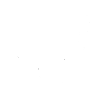 O=C(NCCN1CCOCC1)c1cccc(-c2ccc3nc(NC(=O)C4CC4)sc3n2)c1